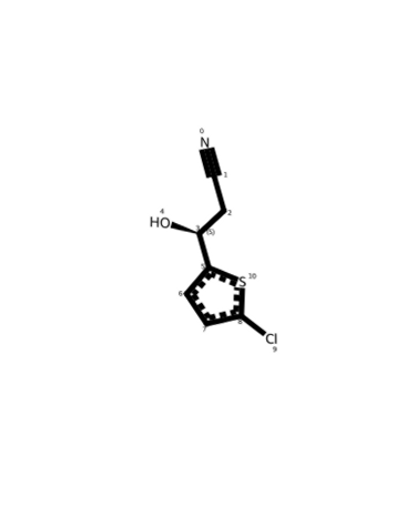 N#CC[C@H](O)c1ccc(Cl)s1